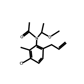 C=CCc1ccc(Cl)c(C)c1N(C(C)=O)C(C)OC